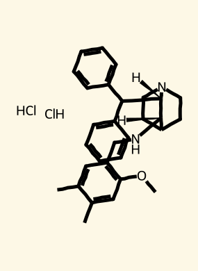 COc1cc(C)c(C)cc1CN[C@H]1C2CCN(CC2)[C@H]1C(c1ccccc1)c1ccccc1.Cl.Cl